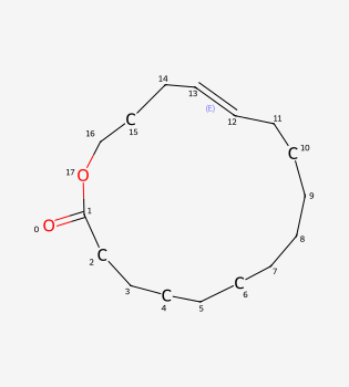 O=C1CCCCCCCCCC/C=C/CCCO1